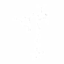 Cc1nc(C(C)C)c(Sc2cc(Cl)cc(Cl)c2)n1COCCOCOC(=O)C(C)(C)C